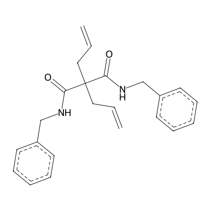 C=CCC(CC=C)(C(=O)NCc1ccccc1)C(=O)NCc1ccccc1